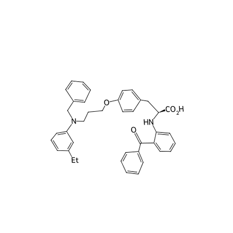 CCc1cccc(N(CCCOc2ccc(C[C@H](Nc3ccccc3C(=O)c3ccccc3)C(=O)O)cc2)Cc2ccccc2)c1